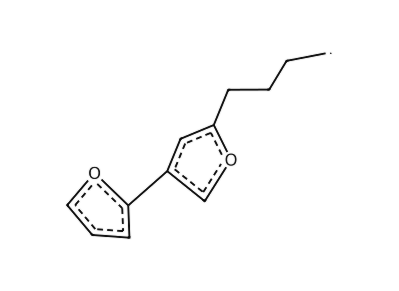 [CH2]CCCc1cc(-c2ccco2)co1